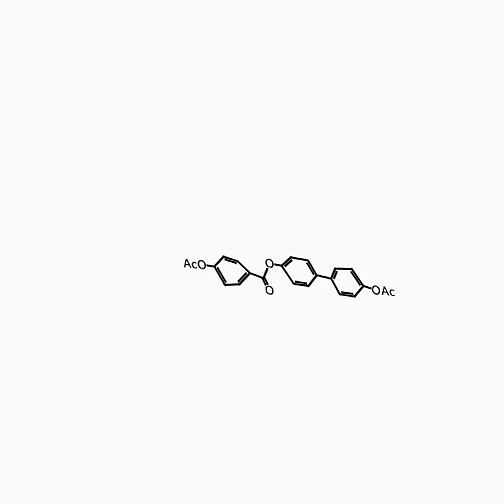 CC(=O)Oc1ccc(C(=O)Oc2ccc(-c3ccc(OC(C)=O)cc3)cc2)cc1